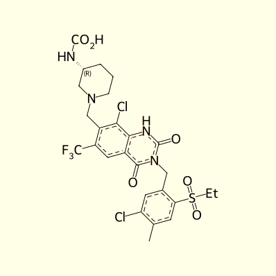 CCS(=O)(=O)c1cc(C)c(Cl)cc1Cn1c(=O)[nH]c2c(Cl)c(CN3CCC[C@@H](NC(=O)O)C3)c(C(F)(F)F)cc2c1=O